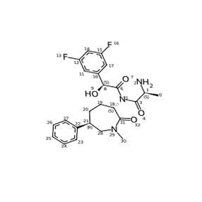 C[C@H](N)C(=O)N(C(=O)[C@@H](O)c1cc(F)cc(F)c1)[C@H]1CC[C@H](c2ccccc2)CN(C)C1=O